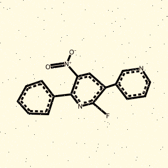 O=[N+]([O-])c1cc(-c2cccnc2)c(F)nc1-c1ccccc1